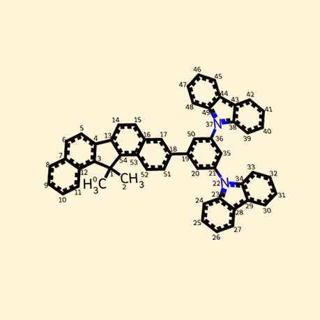 CC1(C)c2c(ccc3ccccc23)-c2ccc3cc(-c4cc(-n5c6ccccc6c6ccccc65)cc(-n5c6ccccc6c6ccccc65)c4)ccc3c21